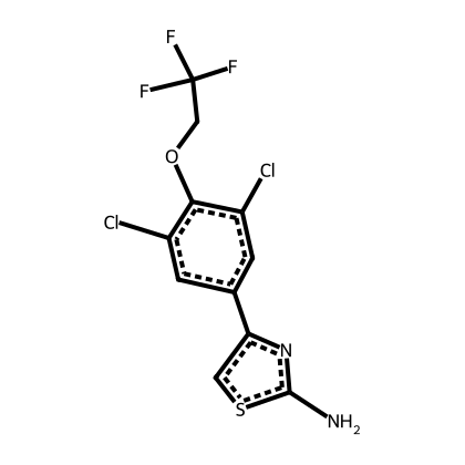 Nc1nc(-c2cc(Cl)c(OCC(F)(F)F)c(Cl)c2)cs1